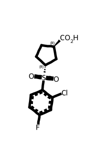 O=C(O)[C@@H]1CC[C@@H](S(=O)(=O)c2ccc(F)cc2Cl)C1